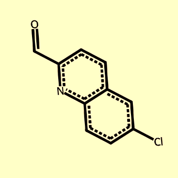 O=Cc1ccc2cc(Cl)ccc2n1